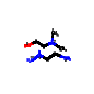 CN(C)CCO.NCCNN